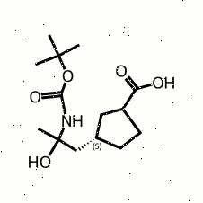 CC(O)(C[C@H]1CCC(C(=O)O)C1)NC(=O)OC(C)(C)C